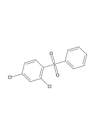 O=S(=O)(c1ccccc1)c1ccc(Cl)cc1Cl